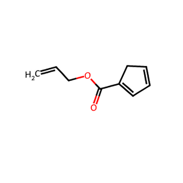 C=CCOC(=O)C1=CC=CC1